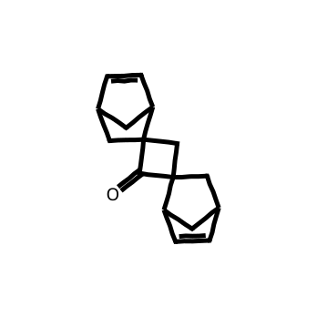 O=C1C2(CC3C=CC2C3)CC12CC1C=CC2C1